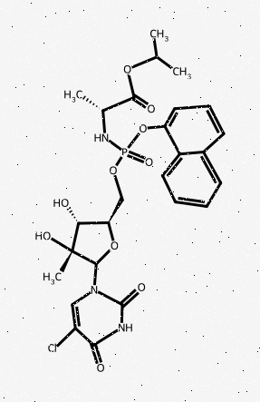 CC(C)OC(=O)[C@@H](C)NP(=O)(OC[C@H]1OC(n2cc(Cl)c(=O)[nH]c2=O)[C@](C)(O)[C@@H]1O)Oc1cccc2ccccc12